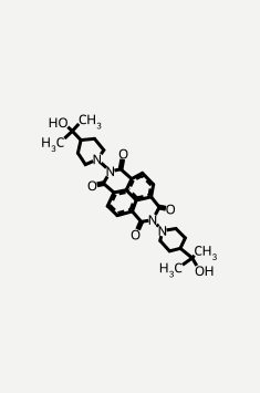 CC(C)(O)C1CCN(N2C(=O)c3ccc4c5c(ccc(c35)C2=O)C(=O)N(N2CCC(C(C)(C)O)CC2)C4=O)CC1